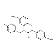 CCC1C(c2ccc(OC)cc2)Cc2ccc(OC)cc2C1Cc1ccc(F)cc1